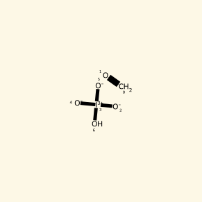 C=O.[O-][I+3]([O-])([O-])O